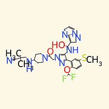 CSc1ccc(OC(F)F)c(-c2nn(CC(=O)N3CCC(NCC(C)(C)C#N)CC3)cc2NC(O)c2cnn3cccnc23)c1